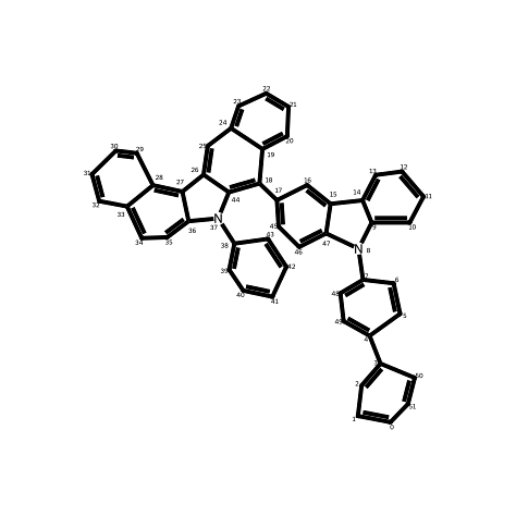 c1ccc(-c2ccc(-n3c4ccccc4c4cc(-c5c6ccccc6cc6c7c8ccccc8ccc7n(-c7ccccc7)c56)ccc43)cc2)cc1